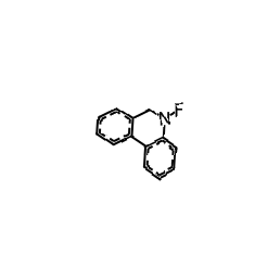 FN1Cc2ccccc2-c2ccccc21